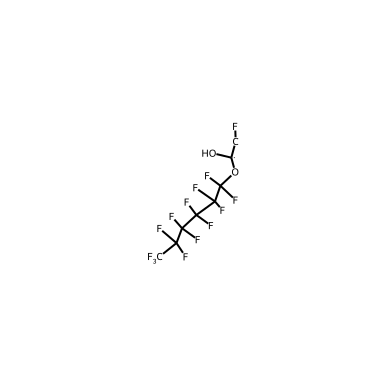 O[C](CF)OC(F)(F)C(F)(F)C(F)(F)C(F)(F)C(F)(F)C(F)(F)F